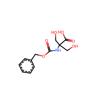 O=C(NC(CO)(CO)C(=O)O)OCc1ccccc1